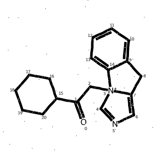 O=C(C[N+]12C=NC=C1Cc1ccccc12)C1CCCCC1